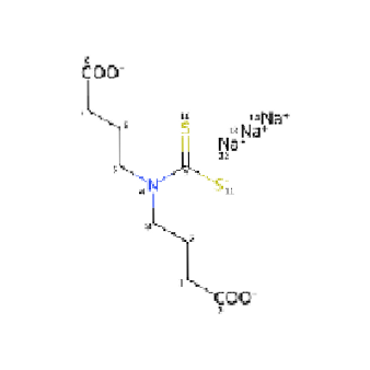 O=C([O-])CCCN(CCCC(=O)[O-])C(=S)[S-].[Na+].[Na+].[Na+]